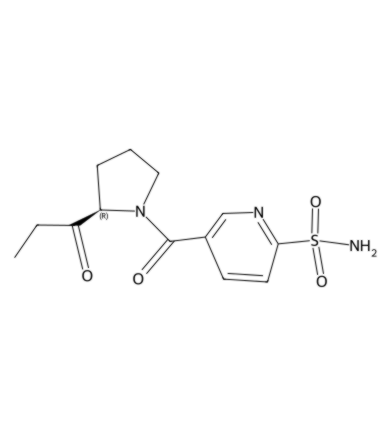 CCC(=O)[C@H]1CCCN1C(=O)c1ccc(S(N)(=O)=O)nc1